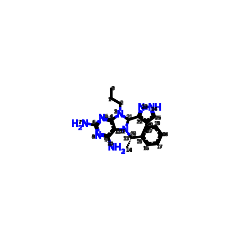 CCCN1c2nc(N)nc(N)c2N([C@@H](C)c2ccccc2)C1c1n[nH]cc1C